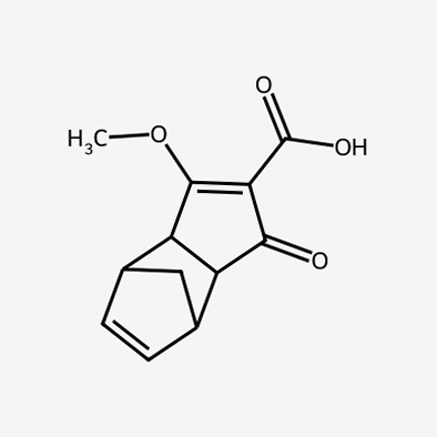 COC1=C(C(=O)O)C(=O)C2C3C=CC(C3)C12